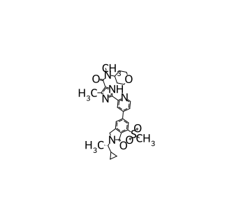 Cc1nc(-c2cc(-c3cc4c(c(S(C)(=O)=O)c3)C(=O)N([C@@H](C)C3CC3)C4)ccn2)[nH]c1C(=O)N(C)C1CCOCC1